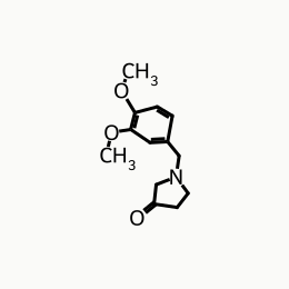 COc1ccc(CN2CCC(=O)C2)cc1OC